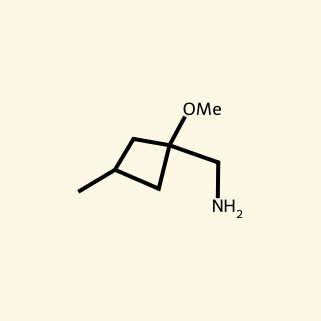 COC1(CN)CC(C)C1